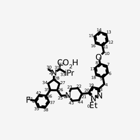 CCn1nc(Cc2ccc(OCc3ccccc3)cc2)cc1C1CCN(CC2CC(N(C)[C@@H](C(=O)O)C(C)C)CC2c2cccc(F)c2)CC1